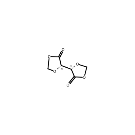 O=C1OCO[C@H]1[C@@H]1OCOC1=O